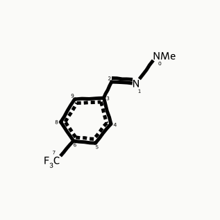 CN/N=C/c1ccc(C(F)(F)F)cc1